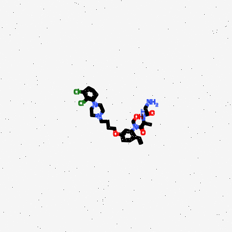 C=Cc1ccc(OCCCCN2CCN(c3cccc(Cl)c3Cl)CC2)cc1N(CO)C(=O)C(C)NC(=O)CN